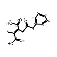 CC(C(=O)O)=C(CC(=O)Cc1ccccc1)C(=O)O